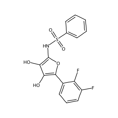 O=S(=O)(Nc1oc(-c2cccc(F)c2F)c(O)c1O)c1ccccc1